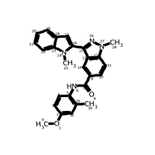 COc1ccc(NC(=O)c2ccc3c(c2)c(-c2cc4ccccc4n2C)nn3C)c(C)c1